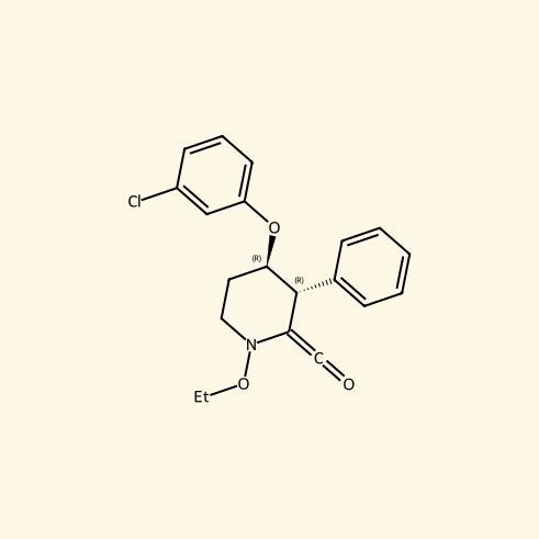 CCON1CC[C@@H](Oc2cccc(Cl)c2)[C@H](c2ccccc2)C1=C=O